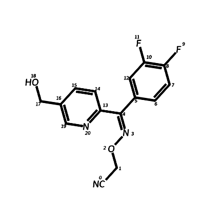 N#CCON=C(c1ccc(F)c(F)c1)c1ccc(CO)cn1